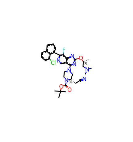 C[C@H](CN(C)C)Oc1nc(N2CCN(C(=O)OC(C)(C)C)[C@@H](CC#N)C2)c2cnc(-c3cccc4cccc(Cl)c34)c(F)c2n1